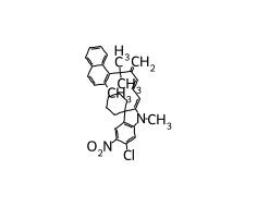 C=C(/C=C/C=C1/N(C)c2cc(Cl)c([N+](=O)[O-])cc2C12CCCCC2)C(C)(C)c1c(C)ccc2ccccc12